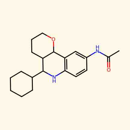 CC(=O)Nc1ccc2c(c1)C1OCCCC1C(C1CCCCC1)N2